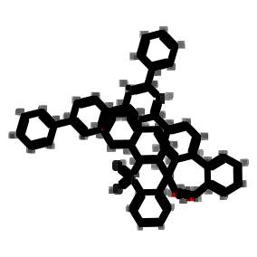 O=S1(=O)c2ccccc2C2(c3ccccc3-c3ccccc3-c3ccc(-c4nc(-c5ccccc5)nc(-c5ccc(-c6ccccc6)cc5)n4)cc32)c2ccc3ccccc3c21